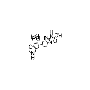 Cl.Cl.O=C(O)Nc1nc2ccc(-c3ccc4c(c3)CNCCO4)cc2[nH]1